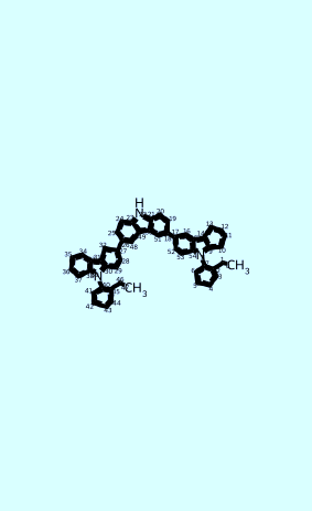 CCc1ccccc1-n1c2ccccc2c2cc(-c3ccc4[nH]c5ccc(-c6ccc7c(c6)c6ccccc6n7-c6ccccc6CC)cc5c4c3)ccc21